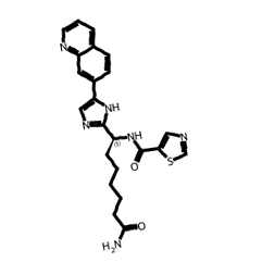 NC(=O)CCCCC[C@H](NC(=O)c1cncs1)c1ncc(-c2ccc3cccnc3c2)[nH]1